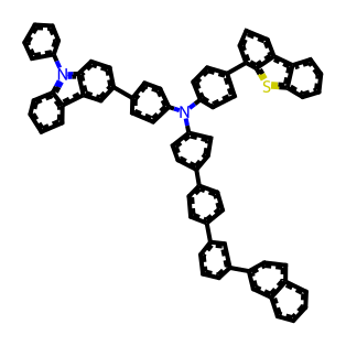 c1ccc(-n2c3ccccc3c3cc(-c4ccc(N(c5ccc(-c6ccc(-c7cccc(-c8ccc9ccccc9c8)c7)cc6)cc5)c5ccc(-c6cccc7c6sc6ccccc67)cc5)cc4)ccc32)cc1